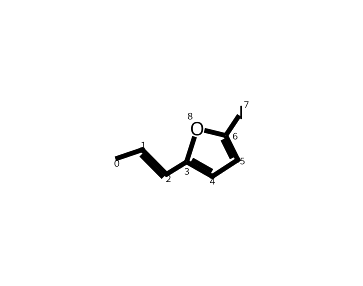 C/C=C/c1ccc(I)o1